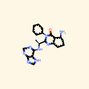 C[C@H](Nc1ncnc2nc[nH]c12)c1nc2cccc(N)c2c(=O)n1-c1ccccc1